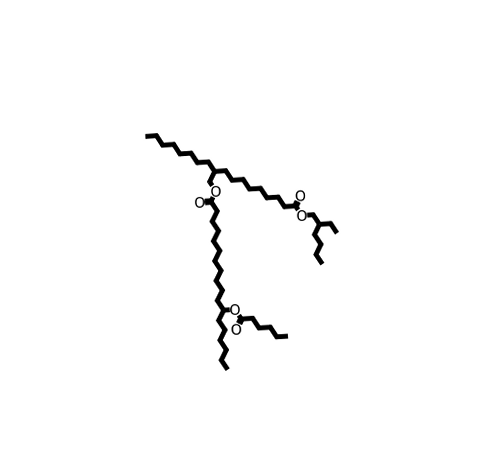 CCCCCCCCC(CCCCCCCCC(=O)OCC(CC)CCCC)COC(=O)CCCCCCCCCCC(CCCCCC)OC(=O)CCCCC